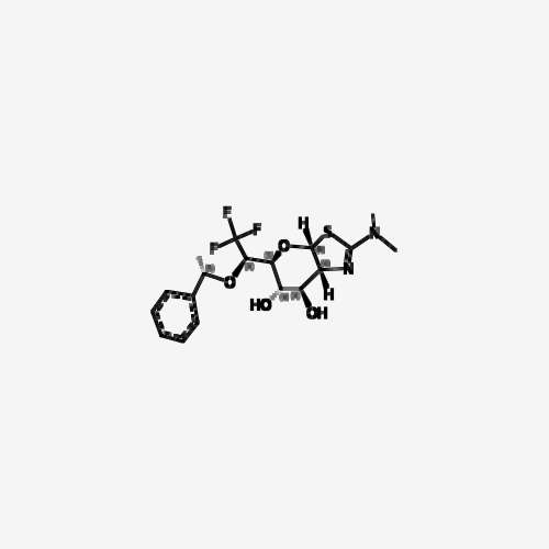 C[C@H](O[C@H]([C@H]1O[C@@H]2SC(N(C)C)=N[C@@H]2[C@@H](O)[C@@H]1O)C(F)(F)F)c1ccccc1